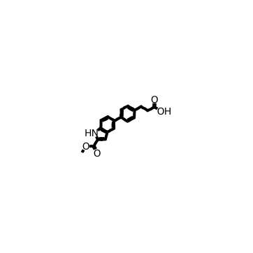 COC(=O)c1cc2cc(-c3ccc(CCC(=O)O)cc3)ccc2[nH]1